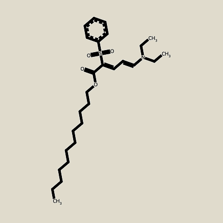 CCCCCCCCCCCCOC(=O)/C(=C/C=C/N(CC)CC)S(=O)(=O)c1ccccc1